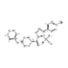 O=C(c1cnn(-c2ccc(Cl)cc2)c1C(F)(F)F)N1CCN(Cc2ccccn2)CC1